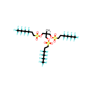 CC(COS(=O)(=O)CCC(F)(F)C(F)(F)C(F)(F)C(F)(F)F)(COS(=O)(=O)CCC(F)(F)C(F)(F)C(F)(F)C(F)(F)F)COS(=O)(=O)CCC(F)(F)C(F)(F)C(F)(F)C(F)(F)F